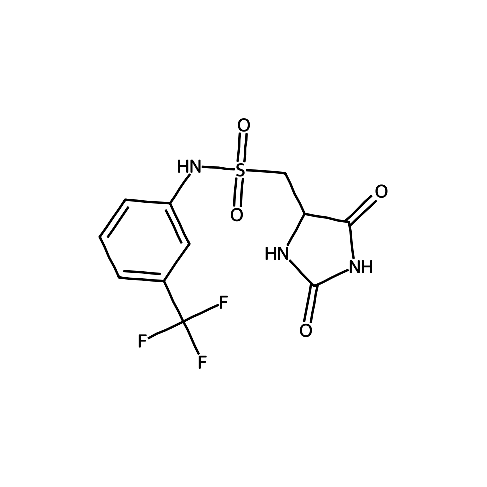 O=C1NC(=O)C(CS(=O)(=O)Nc2cccc(C(F)(F)F)c2)N1